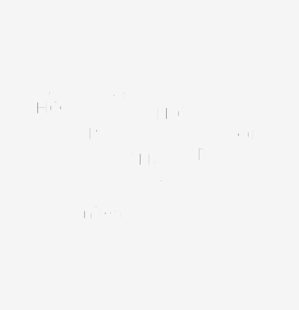 CCCCCCP(=O)(O)O.CP(=O)(O)O